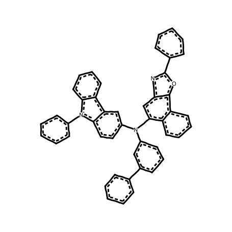 c1ccc(-c2cccc(N(c3ccc4c(c3)c3ccccc3n4-c3ccccc3)c3cc4nc(-c5ccccc5)oc4c4ccccc34)c2)cc1